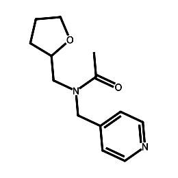 CC(=O)N(Cc1ccncc1)CC1CCCO1